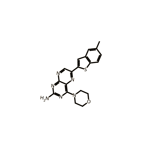 Cc1ccc2sc(-c3cnc4nc(N)nc(N5CCOCC5)c4n3)cc2c1